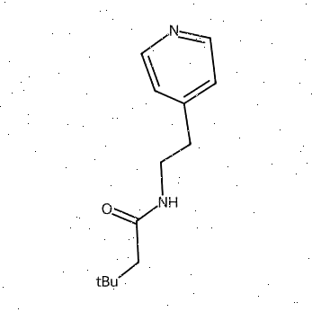 CC(C)(C)CC(=O)NCCc1ccncc1